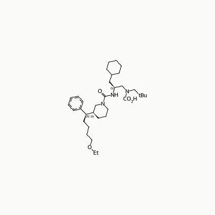 CCOCCCC[C@@H](c1ccccc1)[C@@H]1CCCN(C(=O)N[C@@H](CC2CCCCC2)CN(CC(C)(C)C)C(=O)O)C1